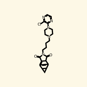 O=C1C2=C3C=CC(C2C(=O)N1CCCCN1CCN(c2nccnc2Cl)CC1)C1CC31